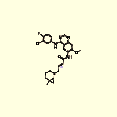 COc1cc2ncnc(Nc3ccc(F)c(Cl)c3)c2cc1NC(=O)/C=C/CN1CCCC2(C)CC12